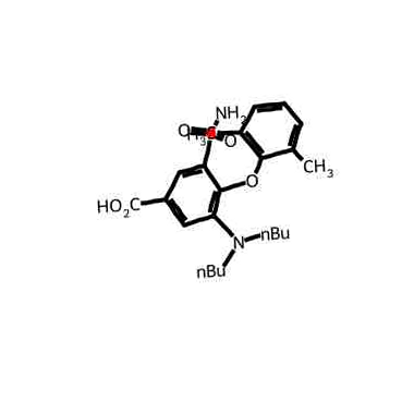 CCCCN(CCCC)c1cc(C(=O)O)cc(S(N)(=O)=O)c1Oc1c(C)cccc1C